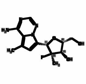 Cc1cc([C@@H]2O[C@H](CO)[C@@H](O)[C@@]2(C)F)n2ncnc(N)c12